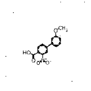 COc1cccc(-c2ccc(C(=O)O)c([N+](=O)[O-])c2)c1